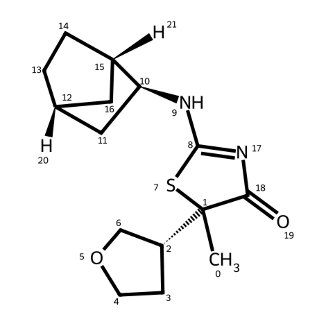 CC1([C@@H]2CCOC2)SC(N[C@H]2C[C@@H]3CC[C@H]2C3)=NC1=O